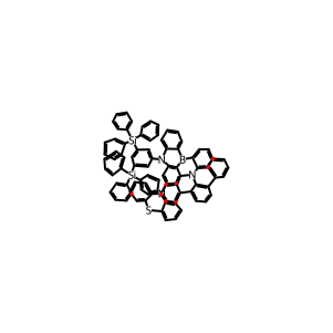 c1ccc(-c2cccc(-c3ccccc3)c2N2c3ccccc3B3c4ccccc4N(c4cc([Si](c5ccccc5)(c5ccccc5)c5ccccc5)cc([Si](c5ccccc5)(c5ccccc5)c5ccccc5)c4)c4cc(N5c6ccccc6Sc6ccccc65)cc2c43)cc1